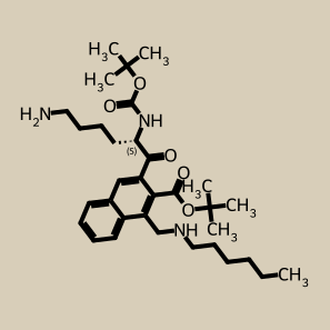 CCCCCCNCc1c(C(=O)OC(C)(C)C)c(C(=O)[C@H](CCCCN)NC(=O)OC(C)(C)C)cc2ccccc12